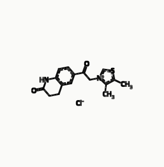 Cc1sc[n+](CC(=O)c2ccc3c(c2)CCC(=O)N3)c1C.[Cl-]